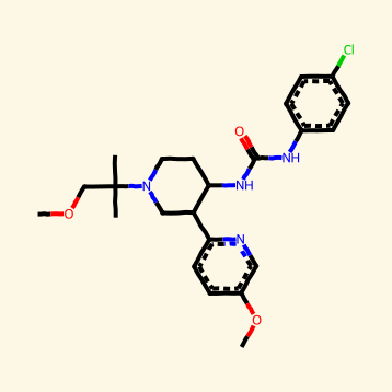 COCC(C)(C)N1CCC(NC(=O)Nc2ccc(Cl)cc2)C(c2ccc(OC)cn2)C1